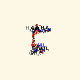 Cc1ncsc1-c1ccc(CNC(=O)[C@@H]2C[C@@H](O)CN2C(=O)C(NC(=O)COCCCOCCOc2ccc3c(c2)c2c(C(N)=O)cc(-c4c(C)noc4C)cc2n3Cc2ccccc2)C(C)(C)C)cc1